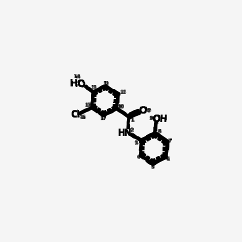 O=C(Nc1ccccc1O)c1ccc(O)c(Cl)c1